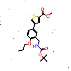 CCCOc1ccc(-c2csc(C(=O)OC)c2)cc1CNC(=O)OC(C)(C)C